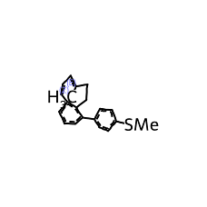 CSc1ccc(-c2cccc3c2CC/C(C)=C/C=C\3)cc1